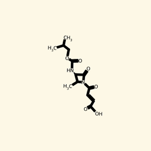 CC(C)COC(=O)N[C@@H]1C(=O)N(C(=O)/C=C/C(=O)O)C1C